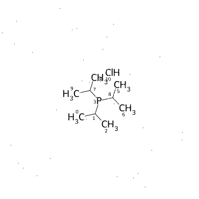 CC(C)P(C(C)C)C(C)C.Cl